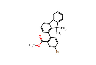 COC(=O)c1cc(Br)ccc1-c1cccc2c1C(C)(C)c1ccccc1-2